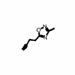 C#CCCc1nc(C)no1